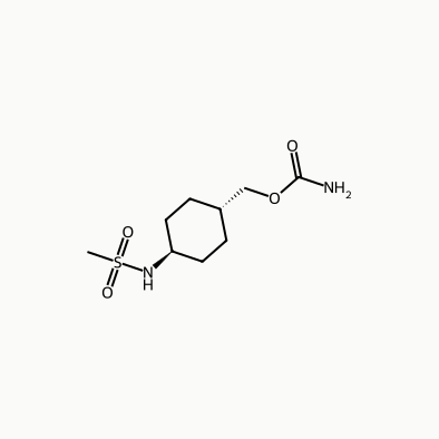 CS(=O)(=O)N[C@H]1CC[C@H](COC(N)=O)CC1